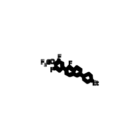 CCC1CCC(c2ccc3c(F)c(-c4cc(F)c(OC(F)(F)F)c(F)c4)ccc3c2)CC1